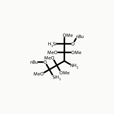 CCCCOC([SiH3])(OC)C(OC)(OC)C(N)C(OC)(OC)C([SiH3])(OC)OCCCC